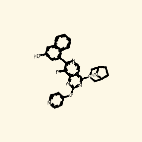 Oc1cc(-c2ncc3c(N4CC5CCC(C4)N5)nc(Oc4ccncc4)nc3c2F)c2ccccc2c1